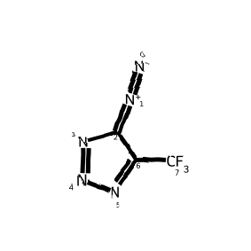 [N-]=[N+]=C1N=NN=C1C(F)(F)F